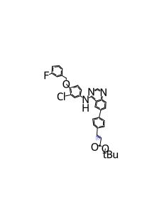 CC(C)(C)OC(=O)/C=C/c1ccc(-c2ccc3ncnc(Nc4ccc(OCc5cccc(F)c5)c(Cl)c4)c3c2)cc1